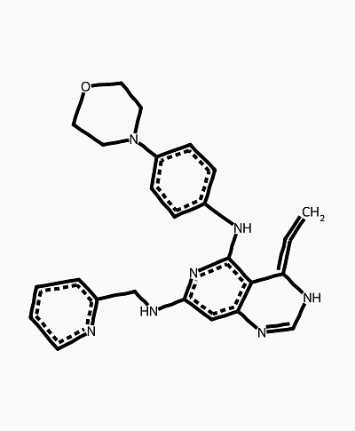 C=C=C1NC=Nc2cc(NCc3ccccn3)nc(Nc3ccc(N4CCOCC4)cc3)c21